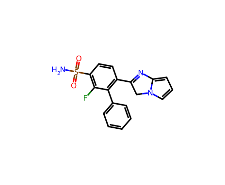 NS(=O)(=O)c1ccc(C2=Nc3cccn3C2)c(-c2ccccc2)c1F